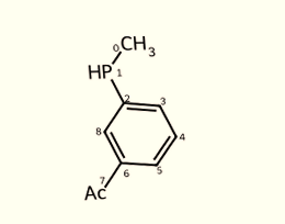 CPc1cccc(C(C)=O)c1